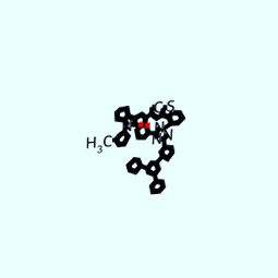 Cc1cccc(-n2c3ccccc3c3cc(-c4ccc5sc6cccc(-c7nc(-c8ccccc8)nc(-c8cccc(-c9cc(-c%10ccccc%10)cc(-c%10ccccc%10)c9)c8)n7)c6c5c4)ccc32)c1